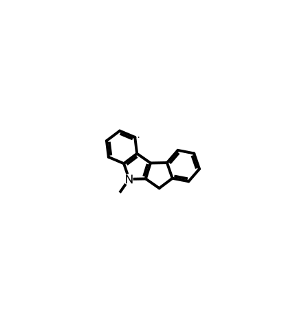 Cn1c2c(c3[c]cccc31)-c1ccccc1C2